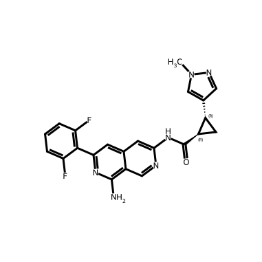 Cn1cc([C@@H]2C[C@H]2C(=O)Nc2cc3cc(-c4c(F)cccc4F)nc(N)c3cn2)cn1